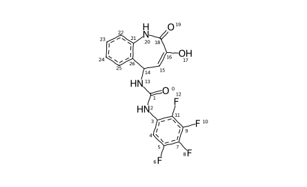 O=C(Nc1cc(F)c(F)c(F)c1F)NC1C=C(O)C(=O)Nc2ccccc21